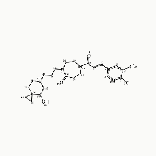 O=C(/C=C/c1cnc(Cl)c(Cl)c1)N1CCC(=O)N(CCCN2CCC3(CC3)C(O)C2)CC1